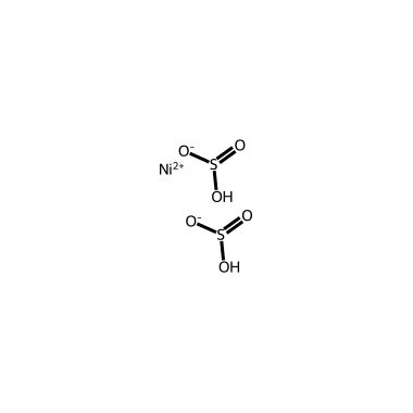 O=S([O-])O.O=S([O-])O.[Ni+2]